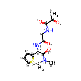 CC(=O)C(=O)NCC(=O)N[C@H](C(=O)N(C)C)c1cccs1